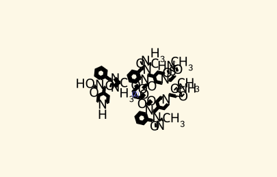 CNS(=O)(=O)CCN1CCC(CN(C(=O)OC(=O)/C=C\C(=O)OC(=O)N(CC2CCN(CCS(=O)(=O)NC)CC2)c2ccccc2-c2nc(C)no2)c2ccccc2-c2nc(C)no2)CC1.Cc1noc(-c2ccccc2N(CC2CCNCC2)C(=O)O)n1